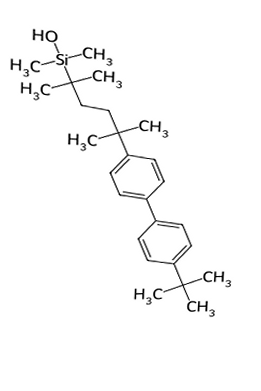 CC(C)(C)c1ccc(-c2ccc(C(C)(C)CCC(C)(C)[Si](C)(C)O)cc2)cc1